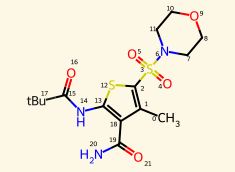 Cc1c(S(=O)(=O)N2CCOCC2)sc(NC(=O)C(C)(C)C)c1C(N)=O